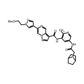 COCCn1cc(-c2cn3ncc(C(=O)Nc4cc(NC(=O)CN5C6CCC5CC6)cnc4C)c3cn2)cn1